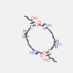 C/C=C/[C@H](O)C(C)(C)[C@@H]1C/C=C\[C@H]2N[C@H]2/C=C/C=C\c2nc(c[nH]2)C(=O)O[C@H](C(C)(C)[C@@H](O)/C=C/C)C/C=C\[C@H]2C[C@H]2/C=C/C=C\c2nc(c[nH]2)C(=O)O1